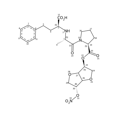 C[C@H](N[C@@H](CCc1ccccc1)C(=O)O)C(=O)N1CCC[C@H]1C(=O)O[C@H]1COC2C1OC[C@H]2O[N+](=O)[O-]